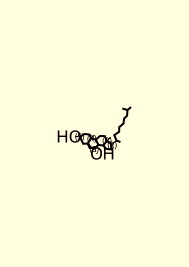 CC(C)CCCCCCC(C)[C@H]1CCC2C3C(CC[C@@]21C)[C@@]1(C)CC[C@H](O)CC1=C[C@H]3O